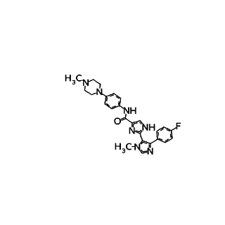 CN1CCN(c2ccc(NC(=O)c3c[nH]c(-c4c(-c5ccc(F)cc5)ncn4C)n3)cc2)CC1